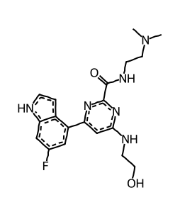 CN(C)CCNC(=O)c1nc(NCCO)cc(-c2cc(F)cc3[nH]ccc23)n1